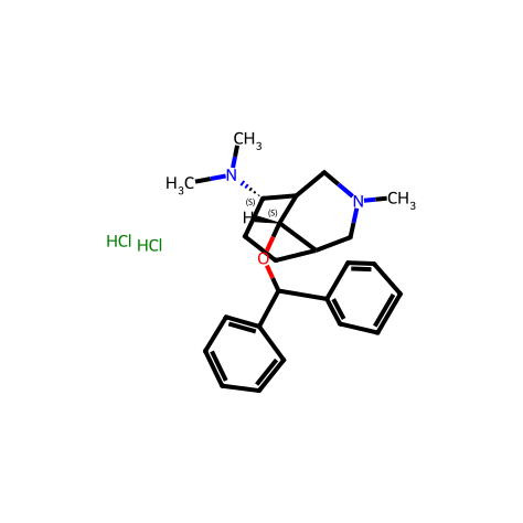 CN1CC2CC[C@H](N(C)C)C(C1)[C@H]2OC(c1ccccc1)c1ccccc1.Cl.Cl